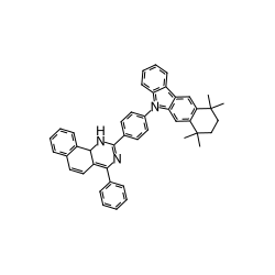 CC1(C)CCC(C)(C)c2cc3c(cc21)c1ccccc1n3-c1ccc(C2=NC(c3ccccc3)=C3C=Cc4ccccc4C3N2)cc1